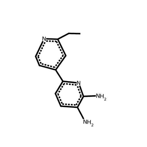 CCc1cc(-c2ccc(N)c(N)n2)ccn1